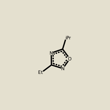 CCc1noc(C(C)C)n1